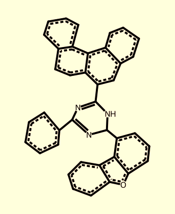 c1ccc(C2=NC(c3cccc4oc5ccccc5c34)NC(c3cc4ccccc4c4c3ccc3ccccc34)=N2)cc1